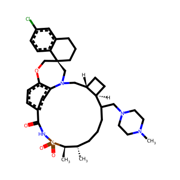 C[C@@H]1[C@@H](C)CCCC(CN2CCN(C)CC2)[C@@H]2CC[C@H]2CN2C[C@@]3(CCCc4cc(Cl)ccc43)COc3ccc(cc32)C(=O)NS1(=O)=O